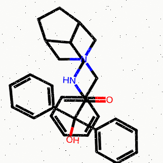 O=C(NCC1C2CCC1CN(Cc1ccccc1)C2)C(O)(c1ccccc1)c1ccccc1